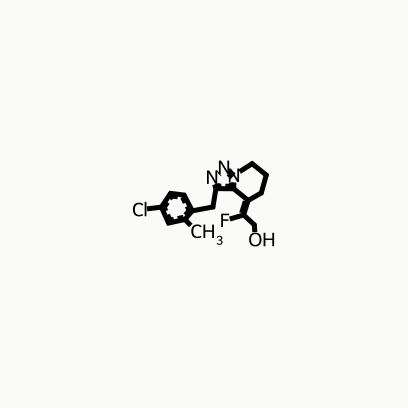 Cc1cc(Cl)ccc1Cc1nnn2c1/C(=C(\F)CO)CCC2